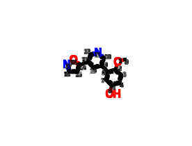 COc1ccc(O)cc1-c1cncc(-c2ccno2)c1